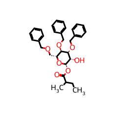 CCC(C)C(=O)O[C@@H]1O[C@H](COCc2ccccc2)[C@@H](OCc2ccccc2)[C@H](OCc2ccccc2)[C@@H]1O